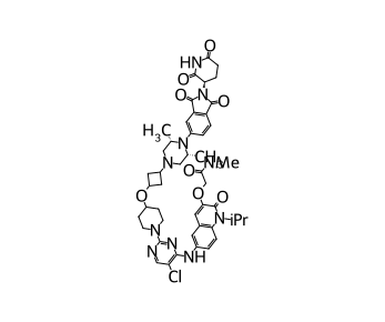 CNC(=O)COc1cc2cc(Nc3nc(N4CCC(OC5CC(N6C[C@@H](C)N(c7ccc8c(c7)C(=O)N([C@@H]7CCC(=O)NC7=O)C8=O)[C@@H](C)C6)C5)CC4)ncc3Cl)ccc2n(C(C)C)c1=O